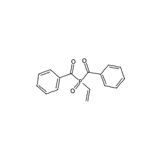 C=CP(=O)(C(=O)c1ccccc1)C(=O)c1ccccc1